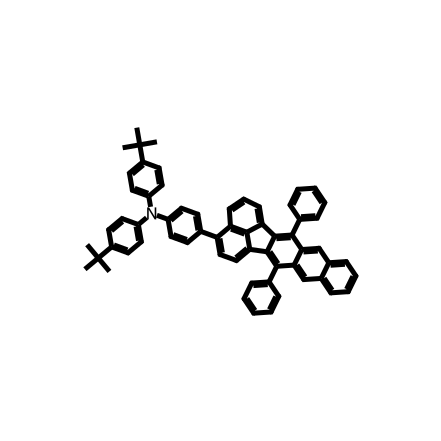 CC(C)(C)c1ccc(N(c2ccc(-c3ccc4c5c(cccc35)-c3c-4c(-c4ccccc4)c4cc5ccccc5cc4c3-c3ccccc3)cc2)c2ccc(C(C)(C)C)cc2)cc1